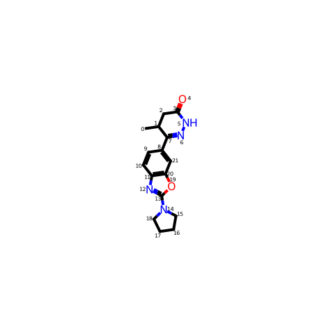 CC1CC(=O)NN=C1c1ccc2nc(N3CCCC3)oc2c1